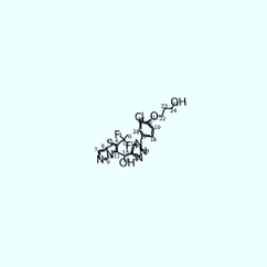 CC(F)(F)c1sc2cncn2c1C(O)c1cn(-c2ccc(OCCCO)c(Cl)c2)nn1